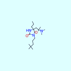 CCCC1(CC(C)(C)N(C)C)NC(=O)N(CCCC(C)(C)C)C1=O